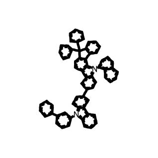 c1ccc(-c2cccc(-n3c4ccccc4c4cc(-c5ccc6c(c5)c5ccc7c(c5n6-c5cccc6ccccc56)-c5ccccc5C7(c5ccccc5)c5ccccc5)ccc43)c2)cc1